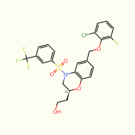 O=S(=O)(c1cccc(C(F)(F)F)c1)N1C[C@H](CCO)Oc2ccc(COc3c(F)cccc3Cl)cc21